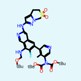 Cc1c(-c2cc3cc(Nc4cc5n(n4)CS(=O)(=O)CC5)ncc3c(NCOC(C)(C)C)c2F)cncc1N(C(=O)OC(C)(C)C)C(=O)OC(C)(C)C